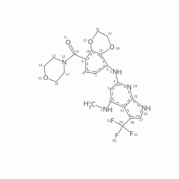 CNc1cc(Nc2ccc(C(=O)N3CCOCC3)c3c2OCCO3)nc2[nH]cc(C(F)(F)F)c12